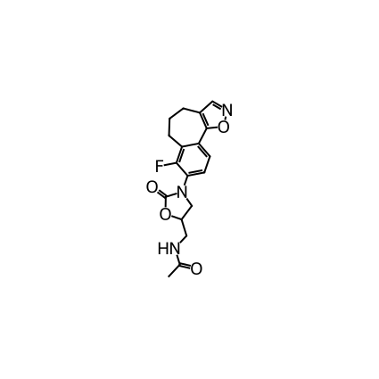 CC(=O)NCC1CN(c2ccc3c(c2F)CCCc2cnoc2-3)C(=O)O1